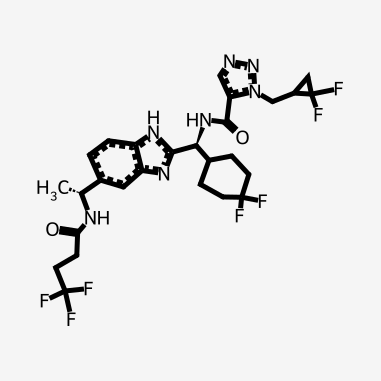 C[C@@H](NC(=O)CCC(F)(F)F)c1ccc2[nH]c([C@@H](NC(=O)c3cnnn3CC3CC3(F)F)C3CCC(F)(F)CC3)nc2c1